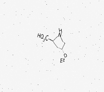 CCO[C@H]1CNC(C(=O)O)C1